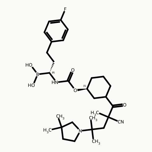 CC1(C)CCN(C(C)(C)CC(C)(C#N)C(=O)C2CCC[C@H](OC(=O)N[C@@H](CCc3ccc(F)cc3)B(O)O)C2)C1